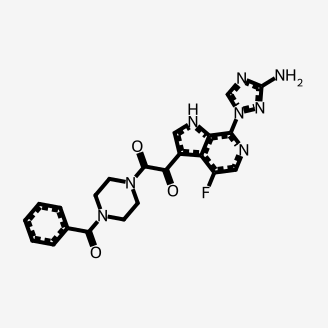 Nc1ncn(-c2ncc(F)c3c(C(=O)C(=O)N4CCN(C(=O)c5ccccc5)CC4)c[nH]c23)n1